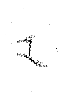 CCCCCCCCC(CC)OC(=O)CCCCCN(CCCN)CCCCCCCC(=O)OC(CCCCCCCC)CCCCCCCC